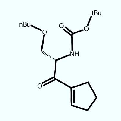 CCCCOC[C@H](NC(=O)OC(C)(C)C)C(=O)C1=CCCC1